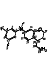 CN(c1cc(F)cc(F)c1)c1ccc2c(c1)OCC[C@H]2CN